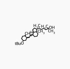 C=C1CC[C@H](OC(C)(C)C)C/C1=C/C=C1\CCC[C@]2(C)C([C@H](C)CCCC(C)(C)O)CC[C@@H]12